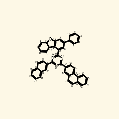 C1=CC2Oc3cc(-c4ccccc4)cc(-c4nc(-c5ccc6ccccc6c5)nc(-c5ccc6c(ccc7ccccc76)c5)n4)c3C2C=C1